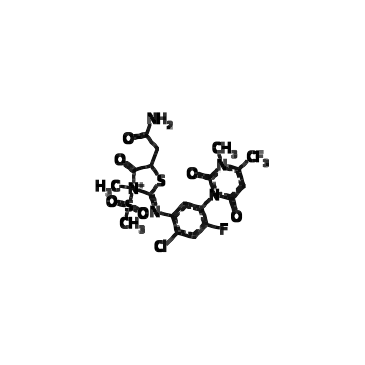 Cn1c(C(F)(F)F)cc(=O)n(-c2cc(N=C3SC(CC(N)=O)C(=O)[N+]3(C)S(C)(=O)=O)c(Cl)cc2F)c1=O